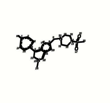 Cc1ccc(C2=c3sc(CN4CCN(S(C)(=O)=O)CC4)cc3=CN(C)C2)cc1